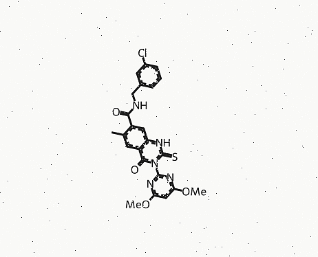 COc1cc(OC)nc(-n2c(=S)[nH]c3cc(C(=O)NCc4cccc(Cl)c4)c(C)cc3c2=O)n1